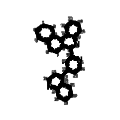 c1ccc2c(c1)ccc1c(-c3cc(-c4ccnc5ccccc45)ccn3)nc3ccccc3c12